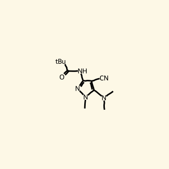 CN(C)c1c(C#N)c(NC(=O)C(C)(C)C)nn1C